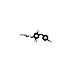 COCOCc1cc(Cl)c(Cc2ccc(C(C)C)cc2)cc1Br